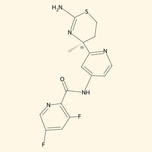 C[C@@]1(c2cc(NC(=O)c3ncc(F)cc3F)ccn2)CCSC(N)=N1